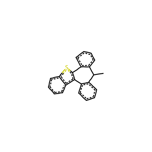 CC1c2ccccc2-c2sc3ccccc3c2-c2ccccc21